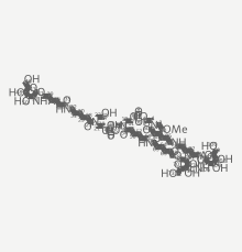 COCCN(CCOP(=O)(O)OCCN(COP(=O)(O)OCCN(CCO)C(=O)CCCCCNC(=O)CCCCCOC1OC(CO)C(O)C(O)C1NC(C)=O)C(=O)CCCCCNC(=O)CCCCCOC1OC(CO)C(O)C(O)C1NC(C)=O)C(=O)CCCCCNC(=O)CCCCCOC1OC(CO)C(O)C(O)C1NC(C)=O